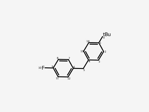 CC(C)(C)c1ccc(Cc2ccc(F)cc2)cc1